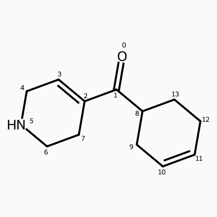 O=C(C1=CCNCC1)C1CC=CCC1